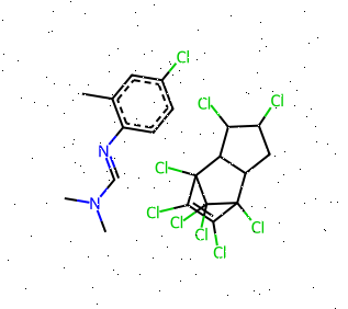 Cc1cc(Cl)ccc1N=CN(C)C.ClC1=C(Cl)C2(Cl)C3C(Cl)C(Cl)CC3C1(Cl)C2(Cl)Cl